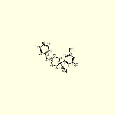 N#CC1(c2cc(F)cc(F)c2)CCN(Cc2ccccc2)CC1